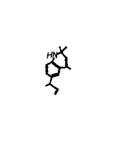 CCC(C)c1ccc2c(c1)C(C)=CC(C)(C)N2